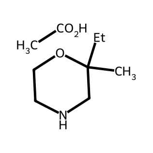 CC(=O)O.CCC1(C)CNCCO1